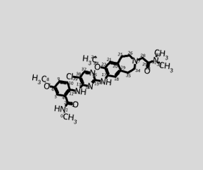 CNC(=O)c1cc(OC)ccc1Nc1nc(Nc2cc3c(cc2OC)CCN(CC(=O)N(C)C)CC3)ncc1Cl